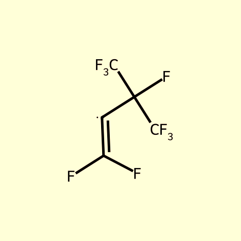 FC(F)=[C]C(F)(C(F)(F)F)C(F)(F)F